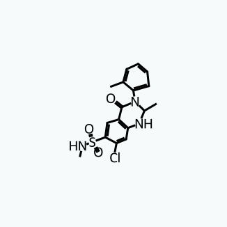 CNS(=O)(=O)c1cc2c(cc1Cl)NC(C)N(c1ccccc1C)C2=O